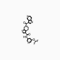 O=C(Nc1cncc(OC(F)F)c1)c1csc2c1CCN(C(=O)c1cnn3ccncc13)C2